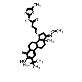 CO/N=C1\C[C@@H](CCCC(=O)Nc2ncc(C)s2)C2C3CCc4c(cc(C(C)(C)C)c(O)c4I)C3CC[C@]12C